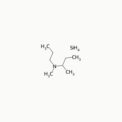 CCCN(C)C(C)CC.[SiH4]